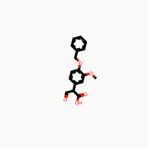 COc1cc(C(C=O)C(=O)O)ccc1OCc1ccccc1